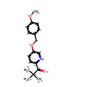 COc1ccc(COc2ccc(C(=O)C(C)(C)C)nc2)cc1